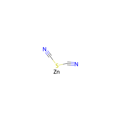 N#CSC#N.[Zn]